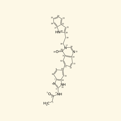 CCC(=O)Nc1nc2ccc(-c3ccc4ncn(CCc5cc6ccccc6[nH]5)c(=O)c4c3)cc2[nH]1